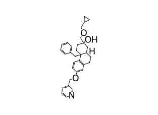 O[C@]1(COCC2CC2)CC[C@@]2(Cc3ccccc3)c3ccc(OCc4cccnc4)cc3CC[C@@H]2C1